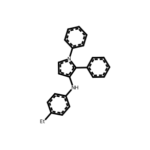 CCc1ccc(Nc2ccn(-c3ccccc3)c2-c2ccccc2)cc1